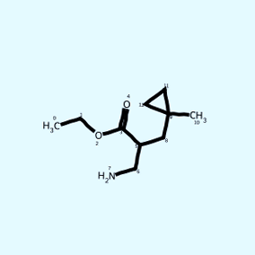 CCOC(=O)C(CN)CC1(C)CC1